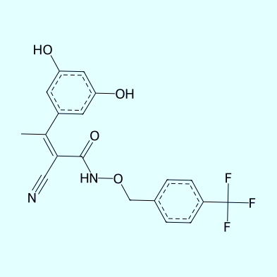 C/C(=C(\C#N)C(=O)NOCc1ccc(C(F)(F)F)cc1)c1cc(O)cc(O)c1